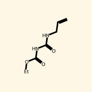 C=CCNC(=O)NC(=O)OCC